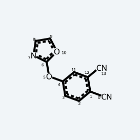 N#Cc1ccc(Oc2n[c]co2)cc1C#N